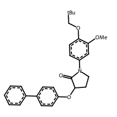 COc1cc(N2CCC(Oc3ccc(-c4ccccc4)cc3)C2=O)ccc1OCC(C)(C)C